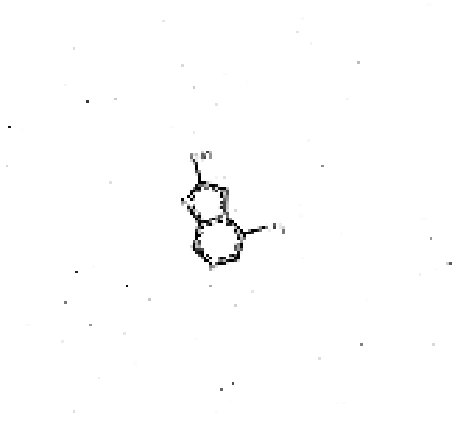 Cc1cncc2nc(C=O)cn12